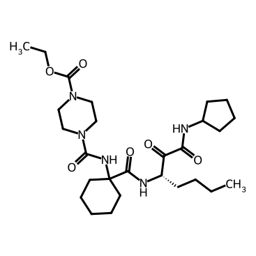 CCCC[C@H](NC(=O)C1(NC(=O)N2CCN(C(=O)OCC)CC2)CCCCC1)C(=O)C(=O)NC1CCCC1